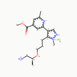 COC(=O)c1cc(C)nc(-c2cnn(C)c2CCCO[C@@H](C)CN)c1.Cl